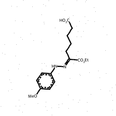 CCOC(=O)C(CCCCC(=O)O)=NNc1ccc(OC)cc1